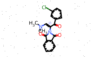 CN(C)/C=C(/C(=O)c1cccc(Cl)c1)N1C(=O)c2ccccc2C1=O